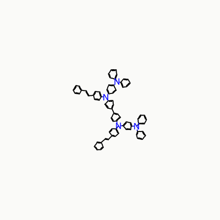 C(=Cc1ccc(N(c2ccc(-c3ccc(N(c4ccc(C=Cc5ccccc5)cc4)c4ccc(N(c5ccccc5)c5ccccc5)cc4)cc3)cc2)c2ccc(N(c3ccccc3)c3ccccc3)cc2)cc1)c1ccccc1